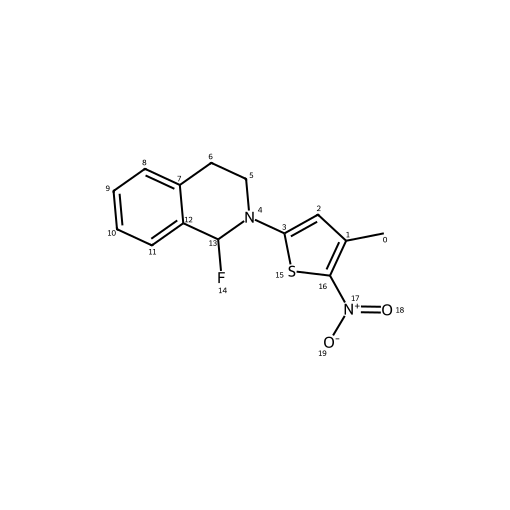 Cc1cc(N2CCc3ccccc3C2F)sc1[N+](=O)[O-]